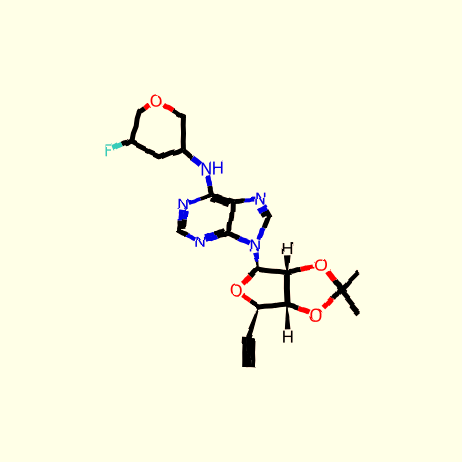 C#C[C@H]1O[C@@H](n2cnc3c(NC4COCC(F)C4)ncnc32)[C@@H]2OC(C)(C)O[C@@H]21